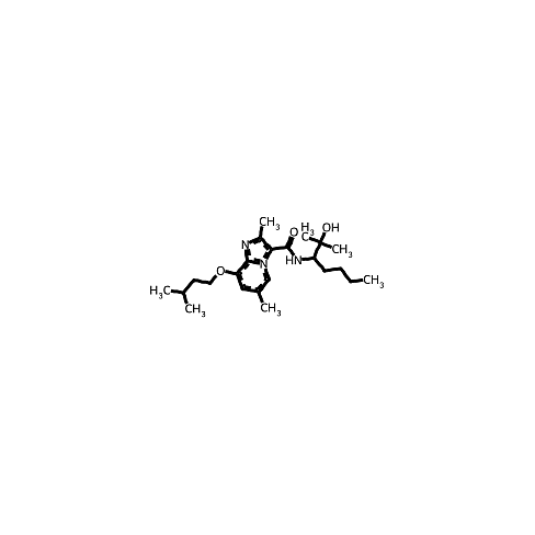 CCCCC(NC(=O)c1c(C)nc2c(OCCC(C)C)cc(C)cn12)C(C)(C)O